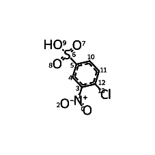 O=[N+]([O-])c1cc(S(=O)(=O)O)ccc1Cl